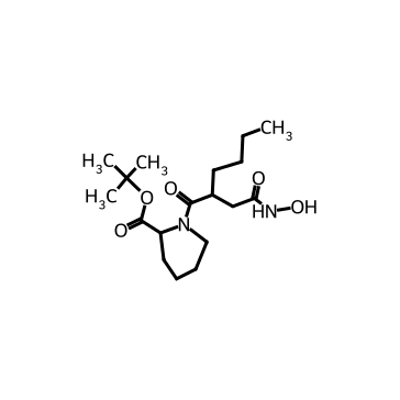 CCCCC(CC(=O)NO)C(=O)N1CCCCC1C(=O)OC(C)(C)C